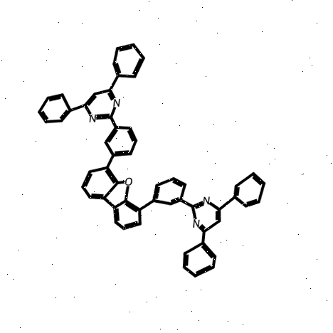 c1ccc(-c2cc(-c3ccccc3)nc(-c3cccc(-c4cccc5c4oc4c(-c6cccc(-c7nc(-c8ccccc8)cc(-c8ccccc8)n7)c6)cccc45)c3)n2)cc1